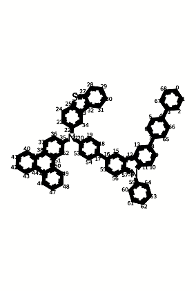 c1ccc(-c2ccc(-c3ccc4c(c3)c3cc(-c5ccc(N(c6ccc7sc8ccccc8c7c6)c6ccc7c8ccccc8c8ccccc8c7c6)cc5)ccc3n4-c3ccccc3)cc2)cc1